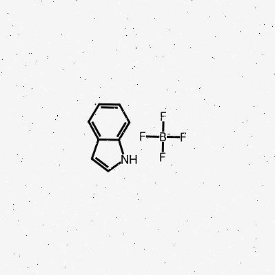 F[B-](F)(F)F.[c]1ccc2[nH]ccc2c1